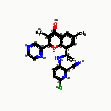 Cc1cc(C(C)Nc2ccc(Cl)nc2C#N)c2oc(-c3cnccn3)c(C)c(=O)c2c1